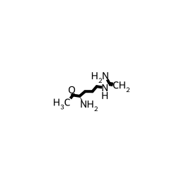 C=C(N)NCCC[C@H](N)C(C)=O